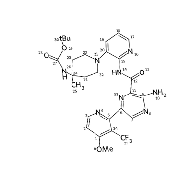 COc1ccnc(-c2cnc(N)c(C(=O)Nc3ncccc3N3CCC(C)(NC(=O)OC(C)(C)C)CC3)n2)c1C(F)(F)F